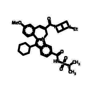 CCN1CC2C1CN2C(=O)C1=Cc2cc(OC)ccc2-c2c(C3CCCCC3)c3ccc(C(=O)NS(=O)(=O)N(C)C)cc3n2C1